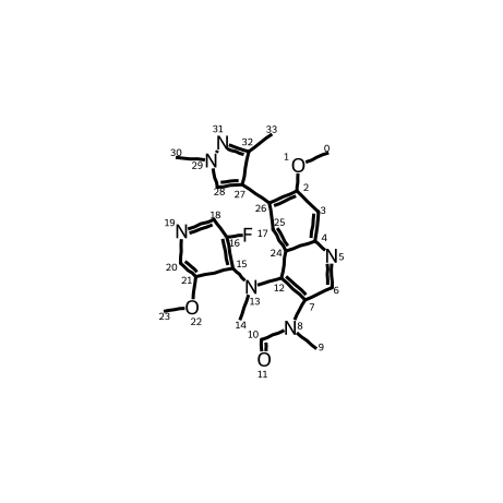 COc1cc2ncc(N(C)C=O)c(N(C)c3c(F)cncc3OC)c2cc1-c1cn(C)nc1C